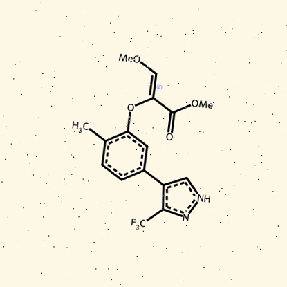 CO/C=C(\Oc1cc(-c2c[nH]nc2C(F)(F)F)ccc1C)C(=O)OC